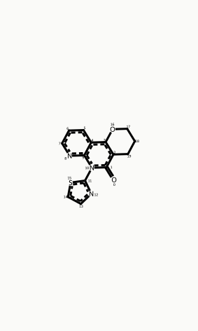 O=c1c2c(c3cccnc3n1-c1nccs1)OCCC2